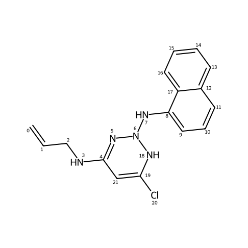 C=CCNC1=NN(Nc2cccc3ccccc23)NC(Cl)=C1